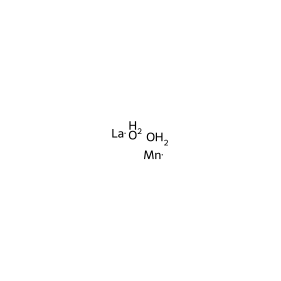 O.O.[La].[Mn]